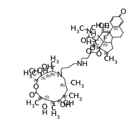 CC[C@H]1OC(=O)[C@H](C)[C@@H](O)[C@H](C)[C@@H](O)[C@](C)(O)C[C@@H](C)CN(CCCNCCC(=O)O[C@]2(C(=O)SC(=O)N(C)C)[C@H](C)CC3C4CCC5=CC(=O)C=C[C@]5(C)[C@@]4(F)[C@@H](O)C[C@@]32C)[C@H](C)[C@@H](O)[C@]1(C)O